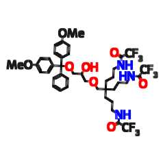 COc1ccc(C(OCC(O)COCC(CCCNC(=O)C(F)(F)F)(CCCNC(=O)C(F)(F)F)CCCNC(=O)C(F)(F)F)(c2ccccc2)c2ccc(OC)cc2)cc1